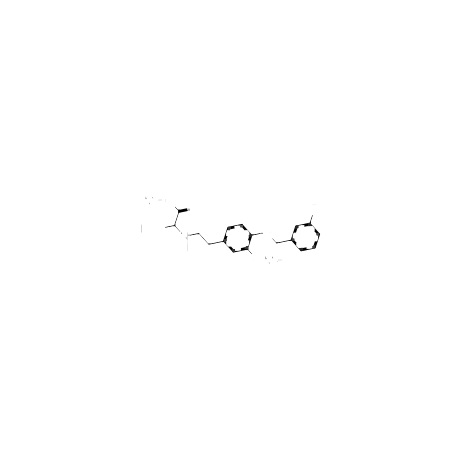 COC(=O)C(C)NCCc1ccc(OCc2cccc(F)c2)c(OC)c1